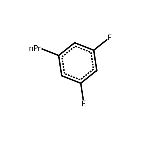 CCCc1cc(F)cc(F)c1